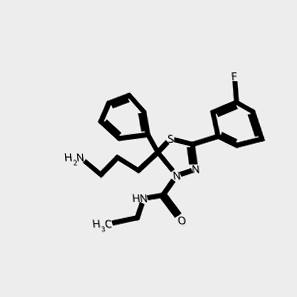 CCNC(=O)N1N=C(c2cccc(F)c2)SC1(CCCN)c1ccccc1